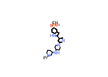 CC(C)N1CCCC(NC2CCN(c3cncc(-c4cc5cc(S(C)(=O)=O)ccc5[nH]4)c3)CC2)C1